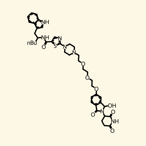 CCCCC(Cc1c[nH]c2ccccc12)NC(=O)c1cnc(N2CCN(CCOCCOCCOc3ccc4c(c3)C(O)N(C3CCC(=O)NC3=O)C4=O)CC2)s1